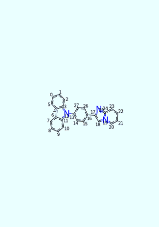 c1ccc2c(c1)c1ccccc1n2-c1ccc(-c2cn3ccccc3n2)cc1